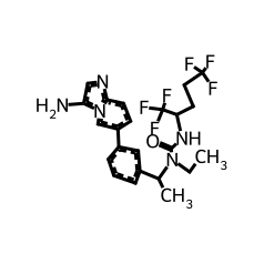 CCN(C(=O)NC(CCC(F)(F)F)C(F)(F)F)C(C)c1cccc(-c2ccc3ncc(N)n3c2)c1